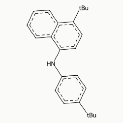 CC(C)(C)c1ccc(Nc2ccc(C(C)(C)C)c3ccccc23)cc1